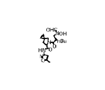 CCCCC(CN(O)C=O)C(=O)N1CC2(CC2)CC1C(=O)Nc1cc(C)on1